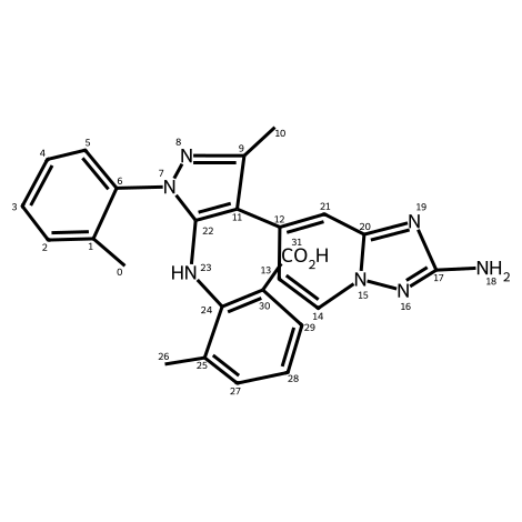 Cc1ccccc1-n1nc(C)c(-c2ccn3nc(N)nc3c2)c1Nc1c(C)cccc1C(=O)O